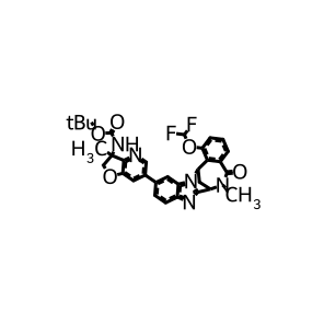 CN1C(=O)c2cccc(OC(F)F)c2C2CC1c1nc3ccc(-c4cnc5c(c4)OCC5(C)NC(=O)OC(C)(C)C)cc3n12